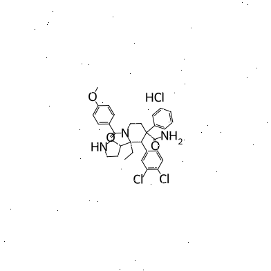 CCC1(C2CCNC2)C(c2ccc(Cl)c(Cl)c2)C(C(N)=O)(c2ccccc2)CCN1C(=O)c1ccc(OC)cc1.Cl